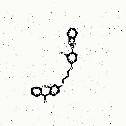 O=C(c1ccccc1)c1ccc(OCCCOc2ccc(-n3n4c5ccccc5n34)c(O)c2)cc1O